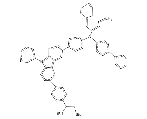 C=C/C=C(\C=C1\C=CC=CC1)N(c1ccc(-c2ccccc2)cc1)c1ccc(-c2ccc3c(c2)c2cc(-c4ccc(C(CC(C)(C)C)C(C)(C)C)cc4)ccc2n3-c2ccccc2)cc1